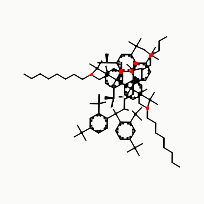 CCCCCCCCCCC(C)C(OP(OC(c1ccc(C(C)(C)C)cc1C(C)(C)C)(c1ccc(C(C)(C)C)cc1C(C)(C)C)C(C)CCCCCCCCCC)OC(c1ccc(C(C)(C)C)cc1C(C)(C)C)(c1ccc(C(C)(C)C)cc1C(C)(C)C)C(C)CCCCCCCCCC)(c1ccc(C(C)(C)C)cc1C(C)(C)C)c1ccc(C(C)(C)C)cc1C(C)(C)C